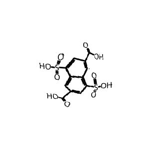 O=C(O)c1[c]c2c(S(=O)(=O)O)cc(C(=O)O)cc2c(S(=O)(=O)O)c1